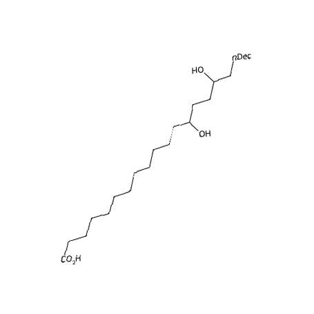 CCCCCCCCCCCC(O)CCC(O)CCCCCCCCCCCC(=O)O